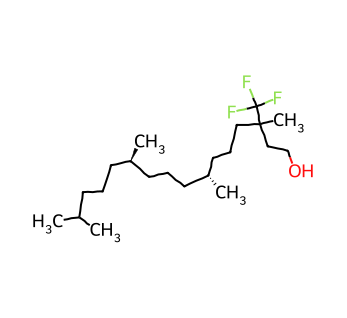 CC(C)CCC[C@@H](C)CCC[C@@H](C)CCCC(C)(CCO)C(F)(F)F